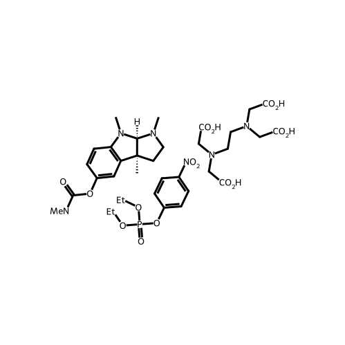 CCOP(=O)(OCC)Oc1ccc([N+](=O)[O-])cc1.CNC(=O)Oc1ccc2c(c1)[C@]1(C)CCN(C)[C@@H]1N2C.O=C(O)CN(CCN(CC(=O)O)CC(=O)O)CC(=O)O